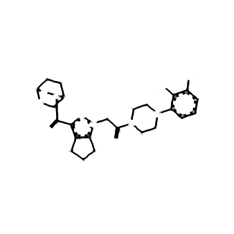 Cc1cccc(N2CCN(C(=O)Cn3nc(C(=O)N4CC5CCC4CO5)c4c3CCC4)CC2)c1C